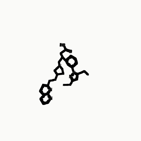 CCc1cc(CC)n(-c2cccc(C(CC(=O)O)CN3CCC(CCc4ccc5cccnc5n4)C3)c2)n1